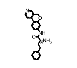 N[C@H](CCc1ccccc1)C(=O)Nc1ccc2c(c1)OCc1cnccc1-2